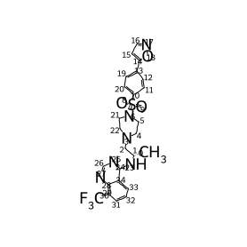 C[C@@H](CN1CCN(S(=O)(=O)c2ccc(-c3ccno3)cc2)CC1)Nc1ncnc2c(C(F)(F)F)cccc12